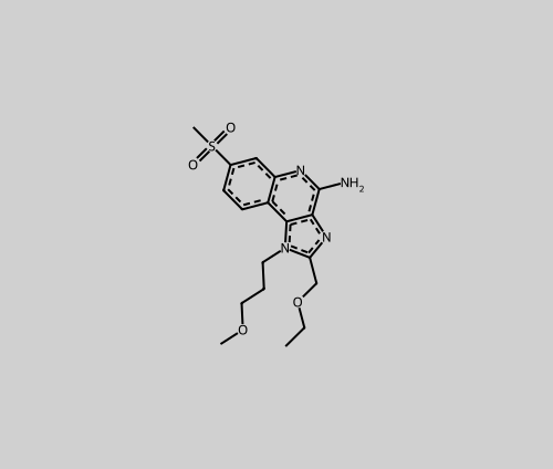 CCOCc1nc2c(N)nc3cc(S(C)(=O)=O)ccc3c2n1CCCOC